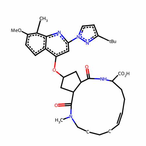 COc1ccc2c(OC3CC4C(=O)NC(C(=O)O)CCC=CCCCCN(C)C(=O)C4C3)cc(-n3ccc(C(C)(C)C)n3)nc2c1C